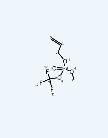 C=CCOP(=O)(OC)OC(F)(F)F